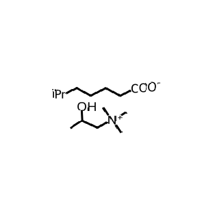 CC(C)CCCCC(=O)[O-].CC(O)C[N+](C)(C)C